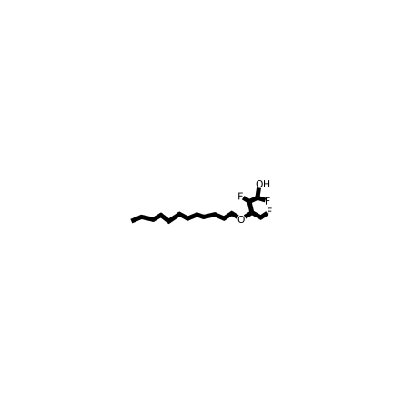 CCCCCCCCCCCCOC(CF)C(F)C(O)F